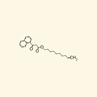 C=CCCCCCCCCOC(=O)CC(=O)c1cccc2ccccc12